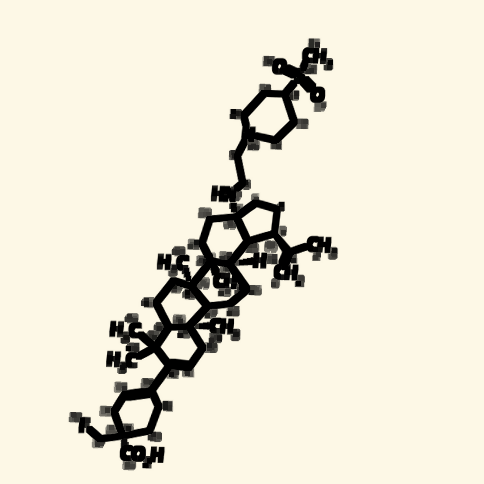 C=C(C)[C@@H]1CC[C@]2(NCCN3CCC(S(C)(=O)=O)CC3)CC[C@]3(C)[C@H](CCC4[C@@]5(C)CC=C(C6=CC[C@@](CF)(C(=O)O)CC6)C(C)(C)C5CC[C@]43C)C12